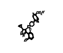 O=C(O)c1cnc(N2CCC3(C=C(c4c(-c5c(Cl)cccc5Cl)noc4C4CC4)C3)CC2)cn1